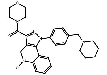 O=C(c1nn(-c2ccc(CN3CCCCC3)cc2)c2c1C[S+]([O-])c1ccccc1-2)N1CCOCC1